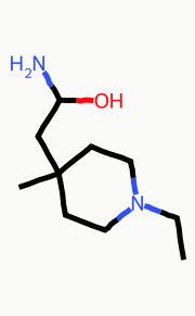 CCN1CCC(C)(CC(N)O)CC1